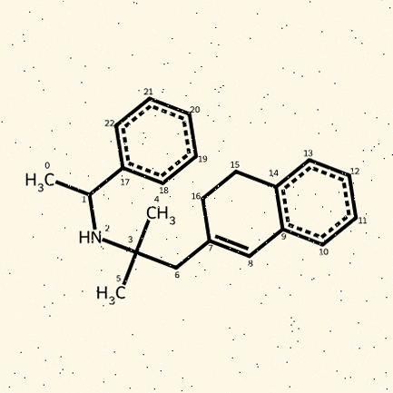 CC(NC(C)(C)CC1=Cc2ccccc2CC1)c1ccccc1